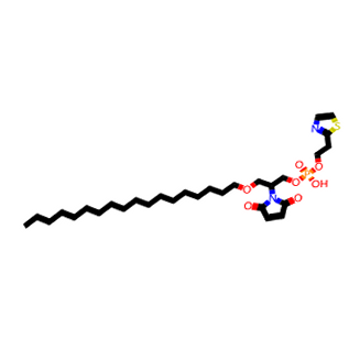 CCCCCCCCCCCCCCCCCCOCC(COP(=O)(O)OCCc1nccs1)N1C(=O)C=CC1=O